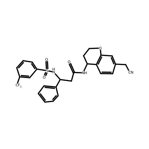 N#CCc1ccc2c(c1)OCCC2NC(=O)CC(NS(=O)(=O)c1cccc(C(F)(F)F)c1)c1ccccc1